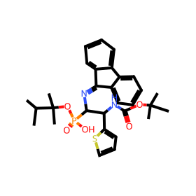 CC(C)C(C)(C)OP(=O)(O)C(N=C1c2ccccc2-c2ccccc21)C(NC(=O)OC(C)(C)C)c1cccs1